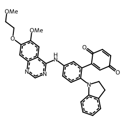 COCCOc1cc2ncnc(Nc3ccc(N4CCc5ccccc54)c(C4=CC(=O)C=CC4=O)c3)c2cc1OC